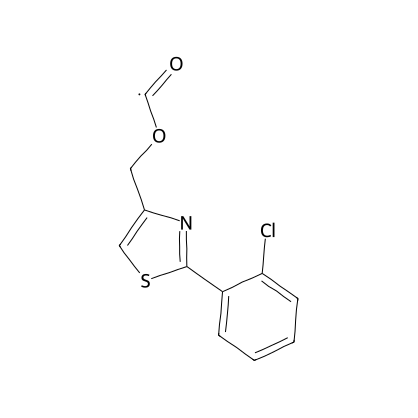 O=[C]OCc1csc(-c2ccccc2Cl)n1